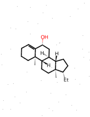 CC[C@H]1CC[C@H]2[C@@H]3C[C@@H](O)C4=CCCC[C@]4(C)[C@H]3CC[C@]12C